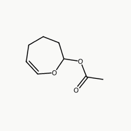 CC(=O)OC1CCCC=CO1